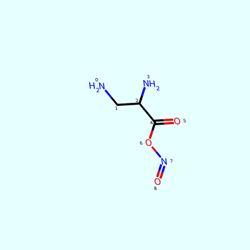 NCC(N)C(=O)ON=O